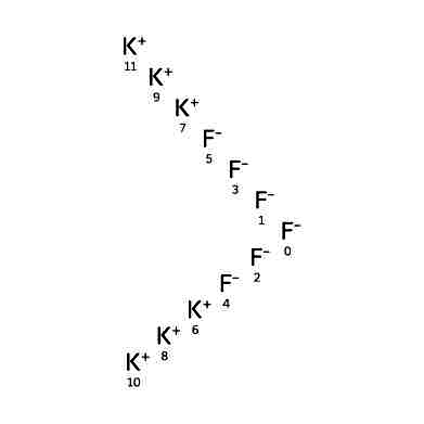 [F-].[F-].[F-].[F-].[F-].[F-].[K+].[K+].[K+].[K+].[K+].[K+]